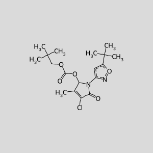 CC1=C(Cl)C(=O)N(c2cc(C(C)(C)C)on2)C1OC(=O)OCC(C)(C)C